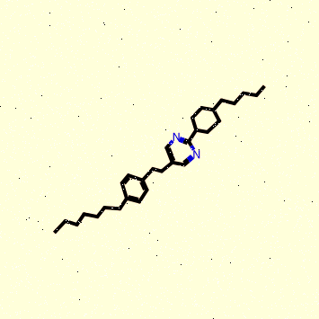 CCCCCCCc1ccc(CCc2cnc(C3CCC(CCCCC)CC3)nc2)cc1